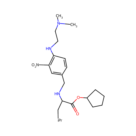 CC(C)CC(NCc1ccc(NCCN(C)C)c([N+](=O)[O-])c1)C(=O)OC1CCCC1